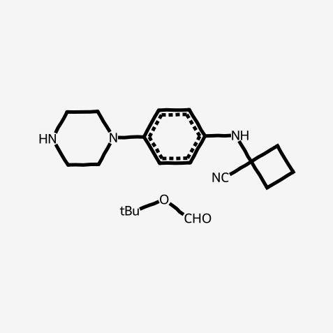 CC(C)(C)OC=O.N#CC1(Nc2ccc(N3CCNCC3)cc2)CCC1